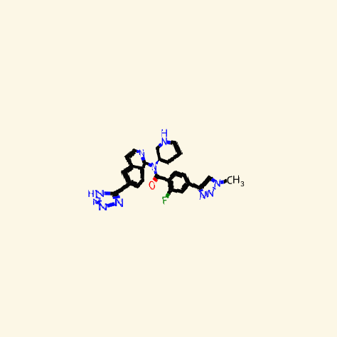 Cn1cc(-c2ccc(C(=O)N(c3nccc4cc(-c5nnn[nH]5)ccc34)[C@@H]3CCCNC3)c(F)c2)nn1